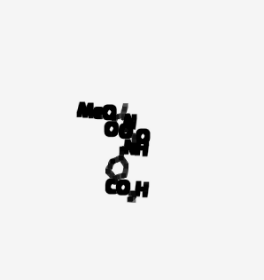 COC(=O)C(C)=NOC(=O)NC[C@H]1CC[C@H](C(=O)O)CC1